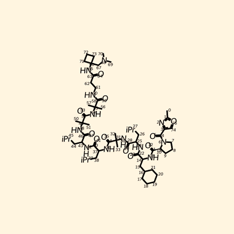 Cc1nc(C(=O)N2CCC[C@H]2C(=O)NC(CC2CCCCC2)C(=O)NC(CC(C)C)C(=O)NC(C)(C)C(=O)NC(CC(C)C)C(=O)NC(CC(C)C)C(=O)NC(C)(C)C(=O)NC(C)(C)C(=O)NCCC(=O)NC2(CN(C)C)CCC2)co1